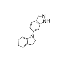 c1ccc2c(c1)CCN2c1ccc2cn[nH]c2c1